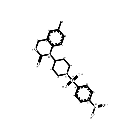 Cc1ccc2c(c1)COC(=O)N2C1CCN(S(=O)(=O)c2ccc([N+](=O)[O-])cc2)CC1